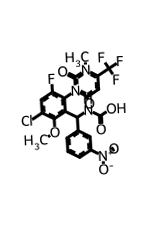 COc1c(Cl)cc(F)c(-n2c(=O)cc(C(F)(F)F)n(C)c2=O)c1C(NC(=O)O)c1cccc([N+](=O)[O-])c1